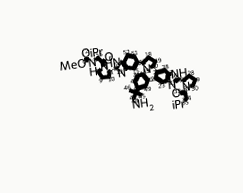 COC(=O)N[C@H](C(=O)N1CCC[C@H]1c1nc2cc([C@H]3CC[C@H](c4ccc5nc([C@@H]6CCCN6C(=O)[CH]C(C)C)[nH]c5c4)N3c3ccc(C(C)(C)CN)cc3)ccc2[nH]1)C(C)C